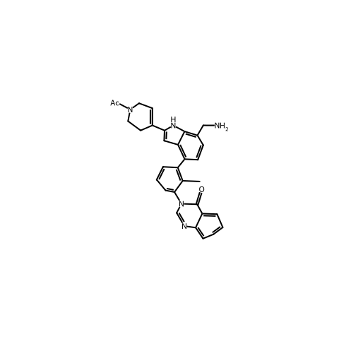 CC(=O)N1CC=C(c2cc3c(-c4cccc(-n5cnc6ccccc6c5=O)c4C)ccc(CN)c3[nH]2)CC1